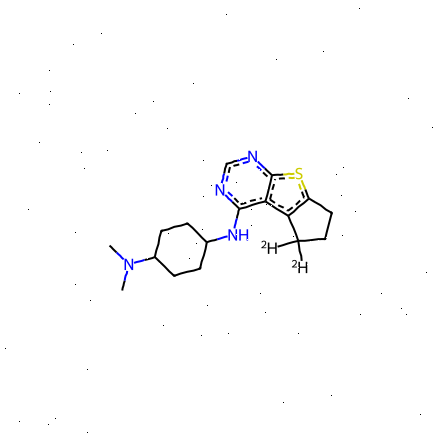 [2H]C1([2H])CCc2sc3ncnc(NC4CCC(N(C)C)CC4)c3c21